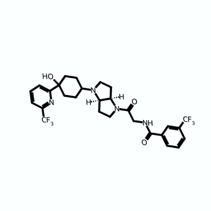 O=C(NCC(=O)N1CC[C@@H]2[C@H]1CCN2C1CCC(O)(c2cccc(C(F)(F)F)n2)CC1)c1cccc(C(F)(F)F)c1